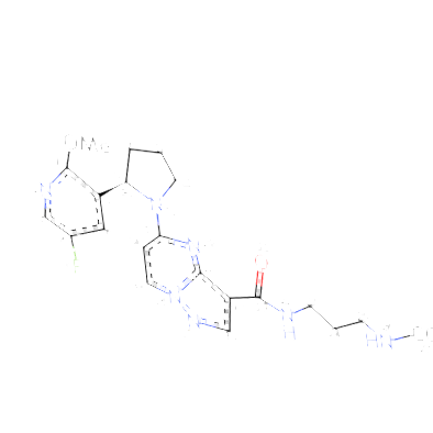 COc1ncc(F)cc1[C@H]1CCCN1c1ccn2ncc(C(=O)NCCCNC(=O)O)c2n1